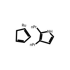 C1=CCC=C1.CCCc1cc[nH]c1CCC.[Ru]